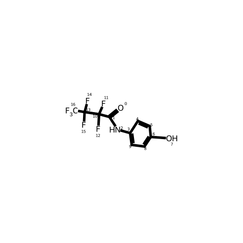 O=C(Nc1ccc(O)cc1)C(F)(F)C(F)(F)C(F)(F)F